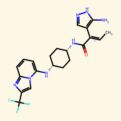 C/C=C(/C(=O)N[C@H]1CC[C@@H](Nc2cccc3nc(C(F)(F)F)cn23)CC1)c1cn[nH]c1N